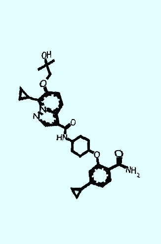 CC(C)(O)COc1ccc2c(C(=O)NC3CCC(Oc4cc(C5CC5)ccc4C(N)=O)CC3)cnn2c1C1CC1